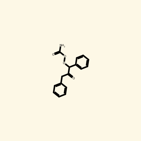 NC(=O)OOC(C(=O)Cc1ccccc1)c1ccccc1